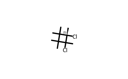 CC1(C)C(C)(C)[C@](C)(Cl)C1(C)Cl